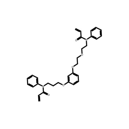 C=CC(=O)N(CCCOc1cccc(OCCOCCN(C(=O)C=C)c2ccccc2)c1)c1ccccc1